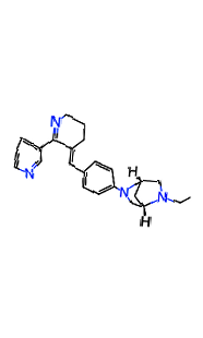 CCN1C[C@@H]2C[C@H]1CN2c1ccc(C=C2CCCN=C2c2cccnc2)cc1